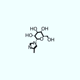 Cc1cn([C@H]2O[C@H](CO)[C@@H](O)[C@H](O)[C@H]2O)cn1